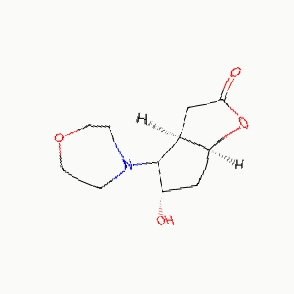 O=C1C[C@@H]2C(N3CCOCC3)[C@@H](O)C[C@@H]2O1